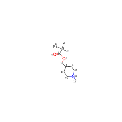 CCC(C)(C)C(=O)OCC1CCN(C)CC1